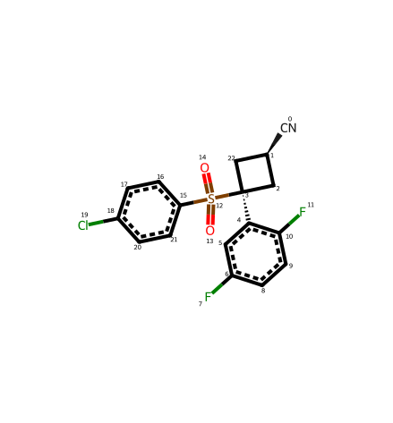 N#C[C@H]1C[C@@](c2cc(F)ccc2F)(S(=O)(=O)c2ccc(Cl)cc2)C1